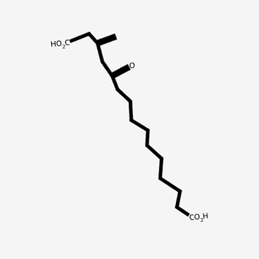 C=C(CC(=O)O)CC(=O)CCCCCCCCCC(=O)O